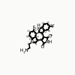 NCCn1cc(C2=C(c3c[nH]c4ccc(F)cc34)C(=O)NC2=O)c2cc(F)ccc21